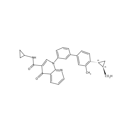 Cc1cc(-c2cccc(-n3cc(C(=O)NC4CC4)c(=O)c4cccnc43)c2)ccc1[C@@H]1C[C@H]1C(=O)O